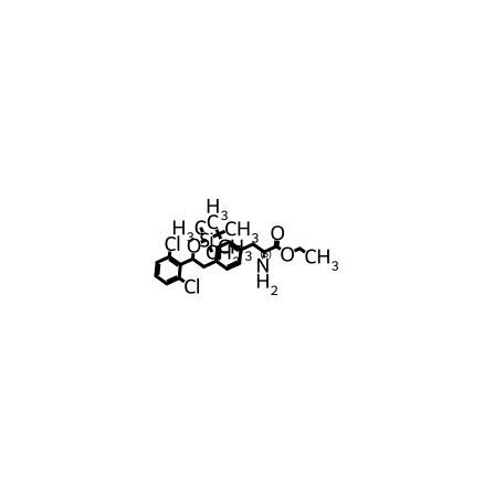 CCOC(=O)[C@@H](N)Cc1ccc(CC(O[Si](C)(C)C(C)(C)C)c2c(Cl)cccc2Cl)cc1